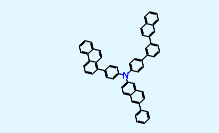 c1ccc(-c2ccc3cc(N(c4ccc(-c5cccc(-c6ccc7ccccc7c6)c5)cc4)c4ccc(-c5cccc6c5ccc5ccccc56)cc4)ccc3c2)cc1